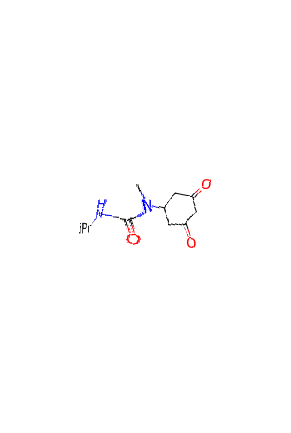 CC(C)NC(=O)N(C)C1CC(=O)CC(=O)C1